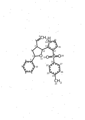 C=CC1CC(c2ccccc2)OC1c1[nH]ccc1S(=O)(=O)c1ccc(C)cc1